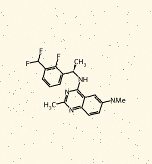 CNc1ccc2nc(C)nc(N[C@H](C)c3cccc(C(F)F)c3F)c2c1